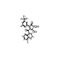 Cc1cc(C(F)(F)F)cc(N2C(=O)[C@@H](O)[C@@H](O)[C@H]2C(=O)N2CCCc3c(C)cccc32)n1